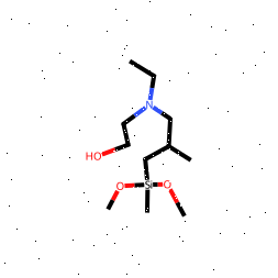 CCN(CCO)CC(C)C[Si](C)(OC)OC